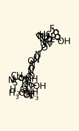 C#Cc1c(F)ccc2cc(O)cc(-c3ncc4c(N5CC6CCC(C5)N6)nc(OCCCN5CCN(CC(=O)N6CCN(C(=O)C[C@H](NC(=O)C7CC(O)CN7C(=O)[C@@H](NC(=O)C7(F)CC7)C(C)(C)C)c7ccc(-c8scnc8C)cc7)CC6)CC5)nc4c3F)c12